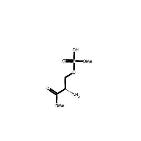 CNC(=O)[C@@H](N)COP(=O)(O)OC